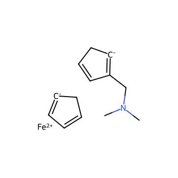 CN(C)CC1=[C-]CC=C1.[C-]1=CC=CC1.[Fe+2]